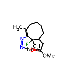 CN/N=N\C1=C(/C)CCCCC(CC(=O)OC)C1(C)F